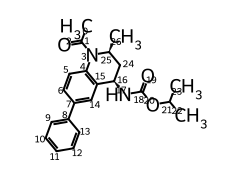 CC(=O)N1c2ccc(-c3ccccc3)cc2[C@H](NC(=O)OC(C)C)C[C@@H]1C